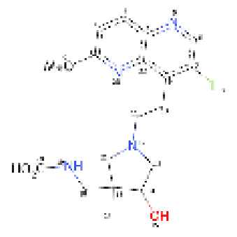 COc1ccc2ncc(F)c(CCN3CC(O)C(C)(CNC(=O)O)C3)c2n1